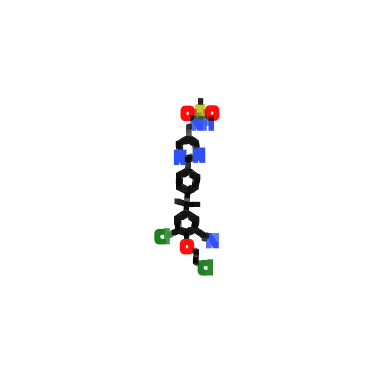 CC(C)(c1ccc(-c2ncc(CNS(C)(=O)=O)cn2)cc1)c1cc(Cl)c(OCCCl)c(C#N)c1